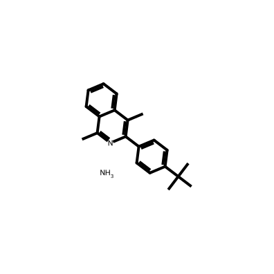 Cc1nc(-c2ccc(C(C)(C)C)cc2)c(C)c2ccccc12.N